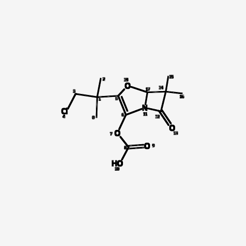 CC(C)(CCl)C1=C(OC(=O)O)N2C(=O)C(C)(C)C2O1